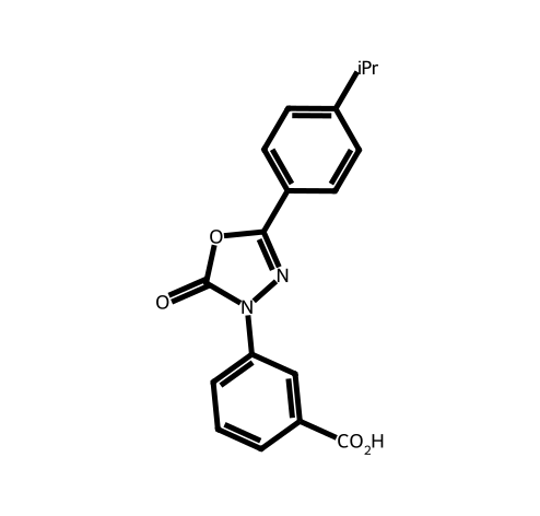 CC(C)c1ccc(-c2nn(-c3cccc(C(=O)O)c3)c(=O)o2)cc1